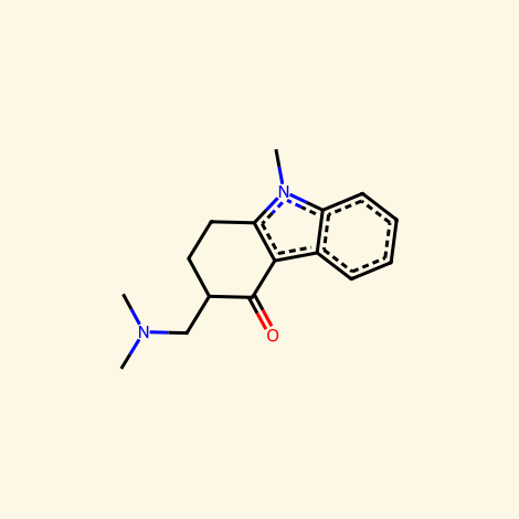 CN(C)CC1CCc2c(c3ccccc3n2C)C1=O